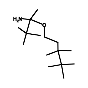 CC(C)(C)C(C)(C)CCOC(C)(N)C(C)(C)C